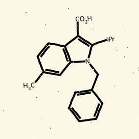 Cc1ccc2c(C(=O)O)c(C(C)C)n(Cc3ccccc3)c2c1